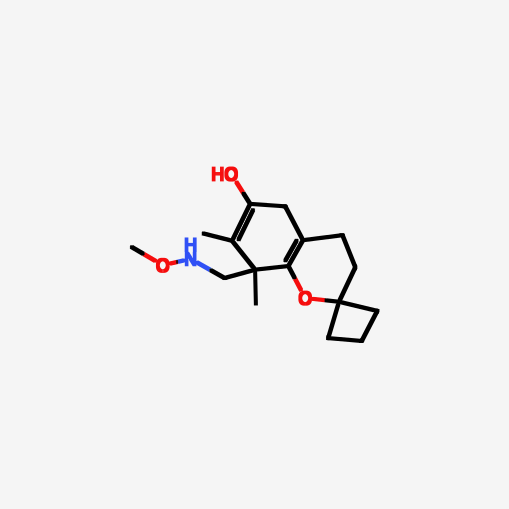 CONCC1(C)C(C)=C(O)CC2=C1OC1(CCC1)CC2